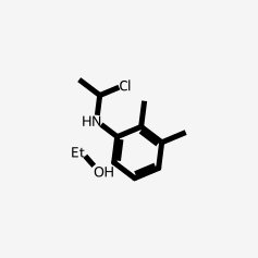 CCO.Cc1cccc(NC(C)Cl)c1C